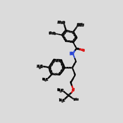 COc1cc(C(=O)NCC(CCO[Si](C)(C)C(C)(C)C)c2ccc(C)c(C)c2)cc(OC)c1OC